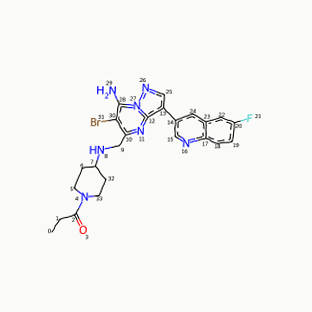 CCC(=O)N1CCC(NCc2nc3c(-c4cnc5ccc(F)cc5c4)cnn3c(N)c2Br)CC1